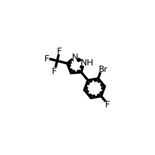 Fc1ccc(-c2cc(C(F)(F)F)n[nH]2)c(Br)c1